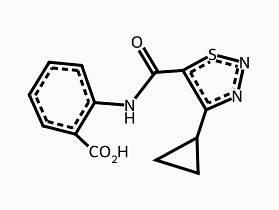 O=C(O)c1ccccc1NC(=O)c1snnc1C1CC1